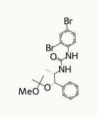 COC(C)(C)O[C@@H](c1ccccc1)[C@H](C)NC(=O)Nc1ccc(Br)cc1Br